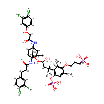 Cc1cc(OP(=O)(O)O)c(C(C)(C)CC(O)O[C@H]2CC3(NC(=O)COc4ccc(Cl)c(F)c4)CCC2(NC(=O)CCc2ccc(Cl)c(F)c2)CC3)c(C)c1OCCCP(=O)(O)O